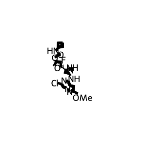 COCc1cc2c(Nc3cc([C@H]4OC[C@@H](OC(=O)NC56CC(C5)C6)[C@@H]4F)[nH]n3)nc(Cl)cn2n1